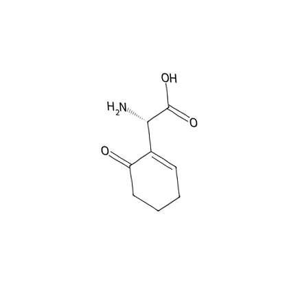 N[C@H](C(=O)O)C1=CCCCC1=O